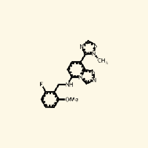 COc1cccc(F)c1CNc1ccc(-c2ncnn2C)c2nncn12